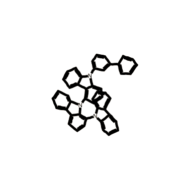 c1ccc(-c2cccc(-n3c4ccccc4c4c(-n5c6ccccc6c6cccc(-n7c8ccccc8c8ccccc87)c65)cccc43)c2)cc1